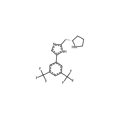 FC(F)(F)c1cc(-c2cnc(C[C@@H]3CCCN3)[nH]2)cc(C(F)(F)F)c1